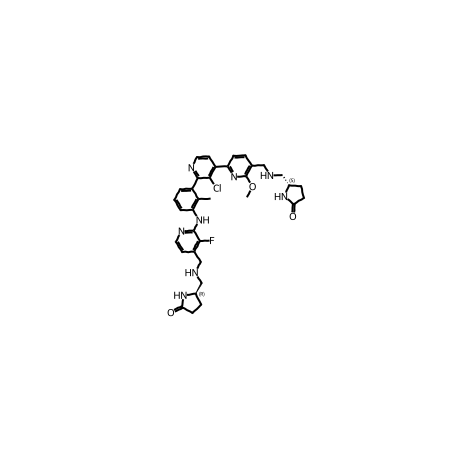 COc1nc(-c2ccnc(-c3cccc(Nc4nccc(CNC[C@H]5CCC(=O)N5)c4F)c3C)c2Cl)ccc1CNC[C@@H]1CCC(=O)N1